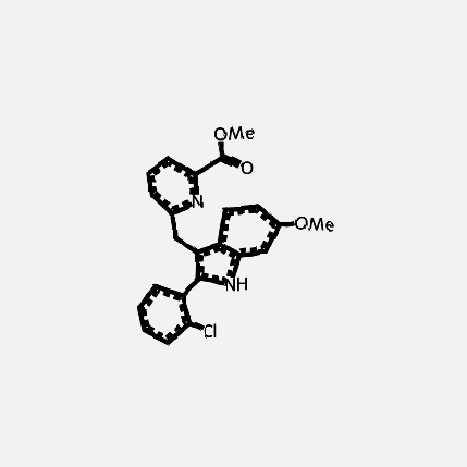 COC(=O)c1cccc(Cc2c(-c3ccccc3Cl)[nH]c3cc(OC)ccc23)n1